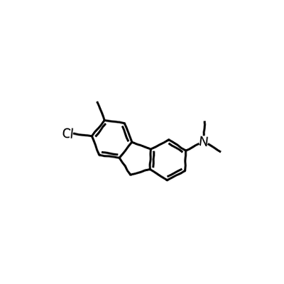 Cc1cc2c(cc1Cl)Cc1ccc(N(C)C)cc1-2